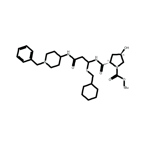 CC(C)(C)OC(=O)N1C[C@H](O)C[C@H]1C(=O)NC(CC(=O)NC1CCN(Cc2ccccc2)CC1)SCC1CCCCC1